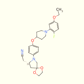 CCOc1ccc(F)c(N2CCC(Oc3ccc(N4CC5(C[C@@H]4CC#N)OCCO5)cc3)CC2)c1